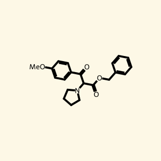 COc1ccc(C(=O)C(C(=O)OCc2ccccc2)N2CCCC2)cc1